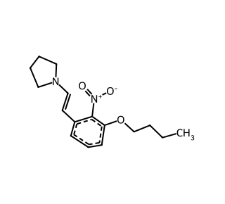 CCCCOc1cccc(/C=C/N2CCCC2)c1[N+](=O)[O-]